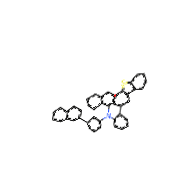 c1cc(-c2ccc3ccccc3c2)cc(N(c2ccccc2-c2ccc3sc4ccccc4c3c2)c2cccc3ccccc23)c1